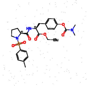 Cc1ccc(S(=O)(=O)N2CCC[C@H]2C(=O)N[C@@H](Cc2ccc(OC(=O)N(C)C)cc2)C(=O)OCC(C)(C)C)cc1